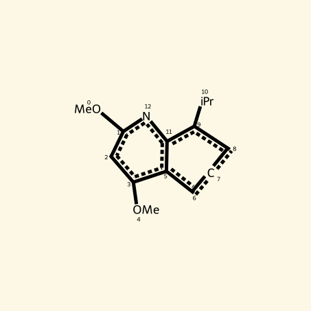 COc1cc(OC)c2cccc(C(C)C)c2n1